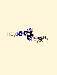 C[Si](C)(C)CCOCn1cc(-c2cncnc2)c2c(N3CCCC(N4CCN(C(=O)O)CC4)C3)ccnc21